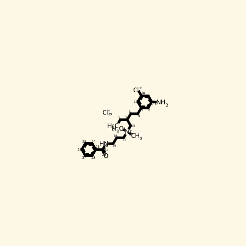 CCC(CCc1cc(N)cc(Cl)c1)C[N+](C)(C)CCCNC(=O)c1ccccc1.[Cl-]